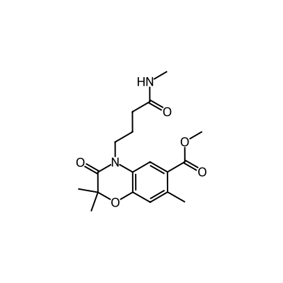 CNC(=O)CCCN1C(=O)C(C)(C)Oc2cc(C)c(C(=O)OC)cc21